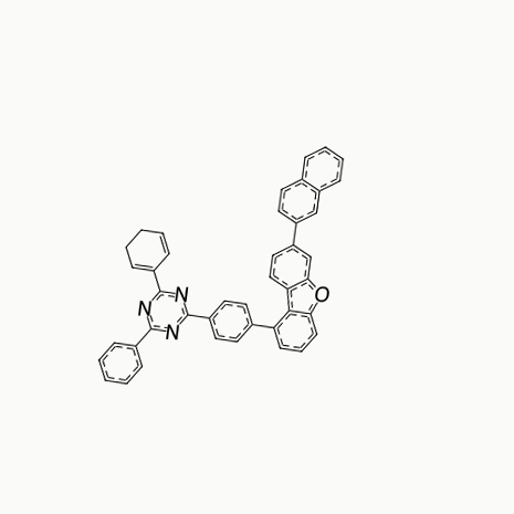 C1=CC(c2nc(-c3ccccc3)nc(-c3ccc(-c4cccc5oc6cc(-c7ccc8ccccc8c7)ccc6c45)cc3)n2)=CCC1